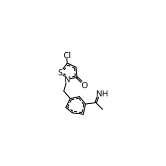 CC(=N)c1cccc(Cn2sc(Cl)cc2=O)c1